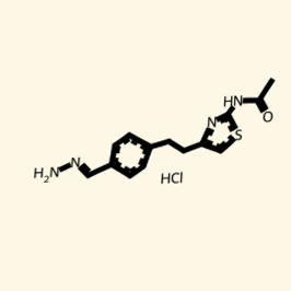 CC(=O)Nc1nc(CCc2ccc(C=NN)cc2)cs1.Cl